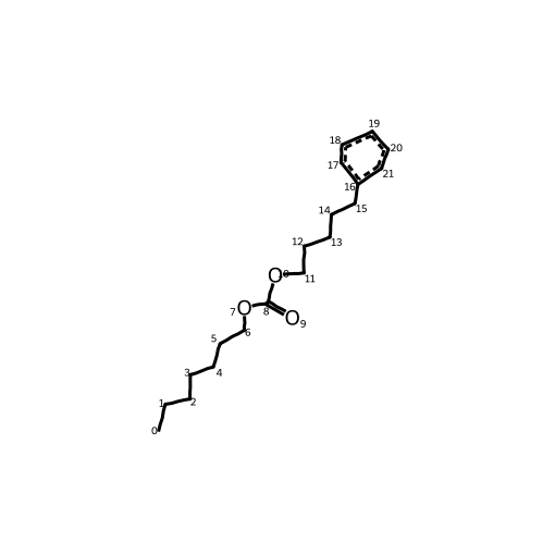 CCCCCCCOC(=O)OCCCCCc1ccccc1